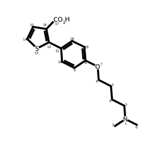 CN(C)CCCCOc1ccc(-c2sccc2C(=O)O)cc1